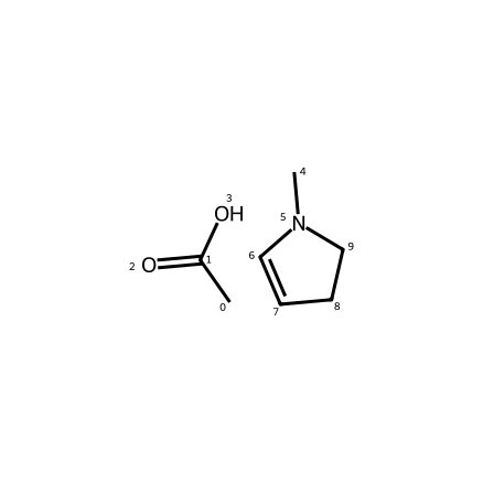 CC(=O)O.CN1C=CCC1